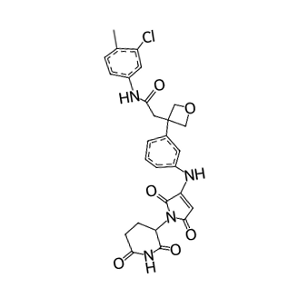 Cc1ccc(NC(=O)CC2(c3cccc(NC4=CC(=O)N(C5CCC(=O)NC5=O)C4=O)c3)COC2)cc1Cl